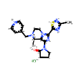 Cc1nsc(-c2nc(N3CCCC3=O)c3n2CCN(Cc2ccncc2)[C@@H]3C)n1.Cl